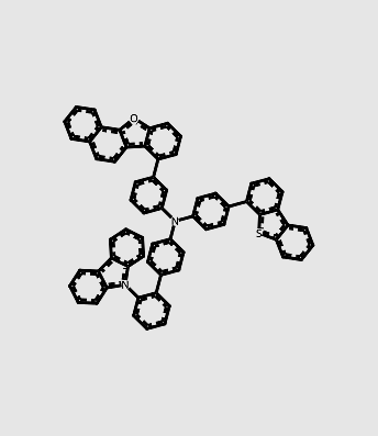 c1cc(-c2cccc3oc4c5ccccc5ccc4c23)cc(N(c2ccc(-c3ccccc3-n3c4ccccc4c4ccccc43)cc2)c2ccc(-c3cccc4c3sc3ccccc34)cc2)c1